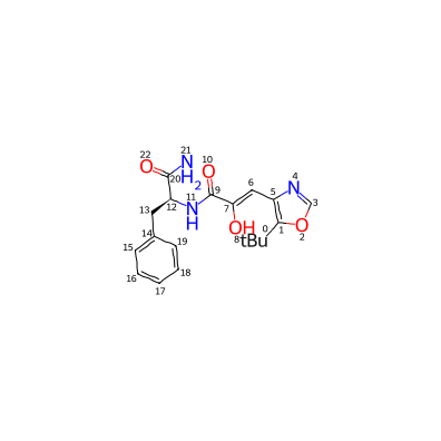 CC(C)(C)c1ocnc1/C=C(\O)C(=O)N[C@@H](Cc1ccccc1)C(N)=O